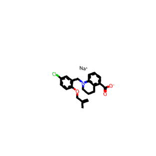 C=C(C)COc1ccc(Cl)cc1CN1CCCc2c(C(=O)[O-])cccc21.[Na+]